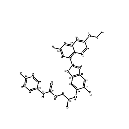 CCOc1cnc2c(-c3nc4cc(F)c(O[C@@H](C)COC(=O)Nc5cnc(C)nc5)cc4s3)cc(C)cc2n1